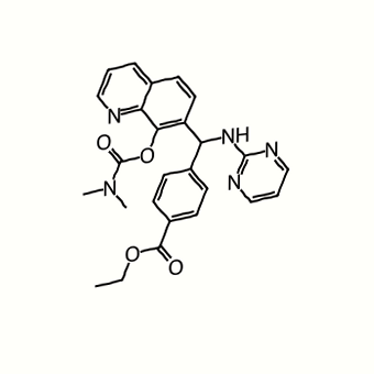 CCOC(=O)c1ccc(C(Nc2ncccn2)c2ccc3cccnc3c2OC(=O)N(C)C)cc1